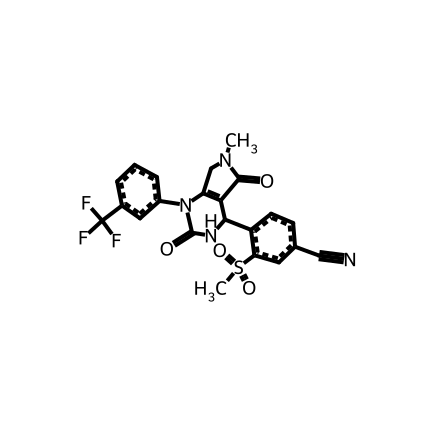 CN1CC2=C(C1=O)C(c1ccc(C#N)cc1S(C)(=O)=O)NC(=O)N2c1cccc(C(F)(F)F)c1